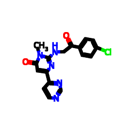 Cn1c(NCC(=O)c2ccc(Cl)cc2)nc(-c2ccncn2)cc1=O